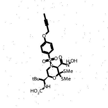 CC#CCOc1ccc(S(=O)(=O)N2C[C@H](C(NC(=O)O)C(C)(C)C)OC(SC)(SC)[C@@H]2C(=O)NO)cc1